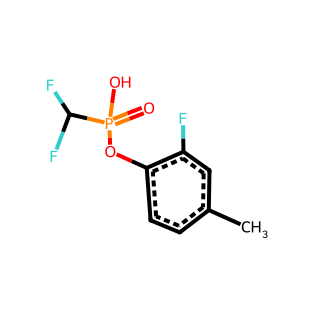 Cc1ccc(OP(=O)(O)C(F)F)c(F)c1